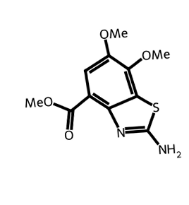 COC(=O)c1cc(OC)c(OC)c2sc(N)nc12